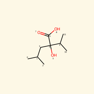 CC(C)CC(O)(C(=O)O)C(C)C